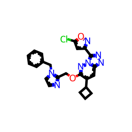 Clc1cc(-c2nnc3cc(C4CCC4)c(OCc4nccn4Cc4ccccc4)nn23)no1